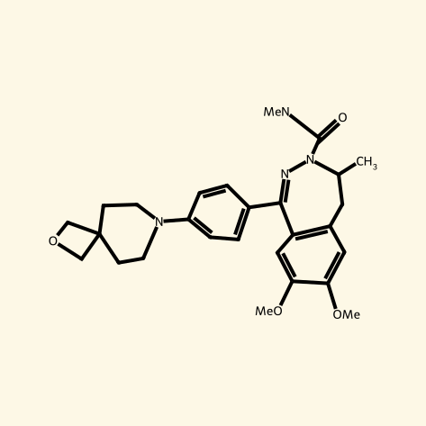 CNC(=O)N1N=C(c2ccc(N3CCC4(CC3)COC4)cc2)c2cc(OC)c(OC)cc2CC1C